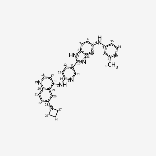 Cc1cc(Nc2ccc3[nH]c(-c4ccc(Nc5ccnc6ccc(N7CCC7)cc56)nc4)nc3n2)ccn1